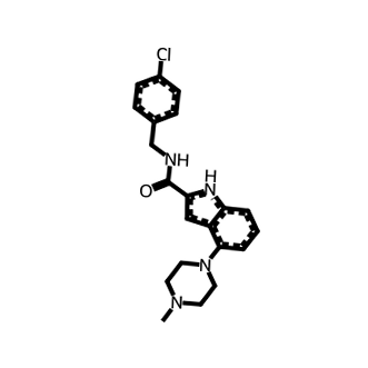 CN1CCN(c2cccc3[nH]c(C(=O)NCc4ccc(Cl)cc4)cc23)CC1